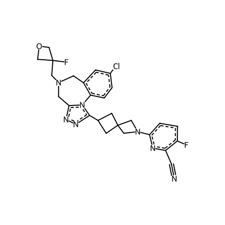 N#Cc1nc(N2CC3(CC(c4nnc5n4-c4ccc(Cl)cc4CN(CC4(F)COC4)C5)C3)C2)ccc1F